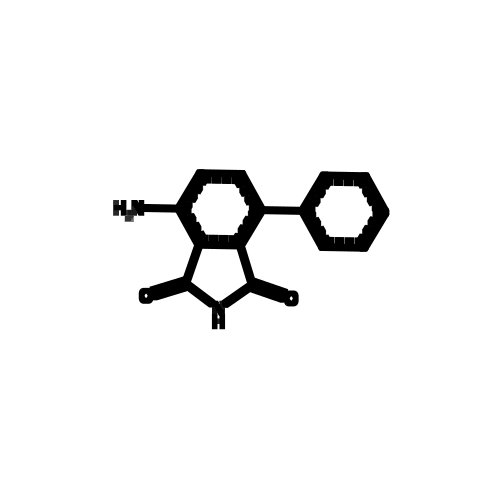 Nc1ccc(-c2ccccc2)c2c1C(=O)NC2=O